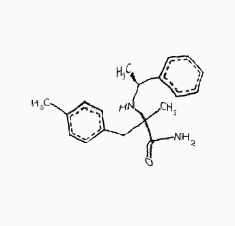 Cc1ccc(CC(C)(N[C@@H](C)c2ccccc2)C(N)=O)cc1